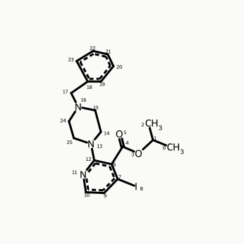 CC(C)OC(=O)c1c(I)ccnc1N1CCN(Cc2ccccc2)CC1